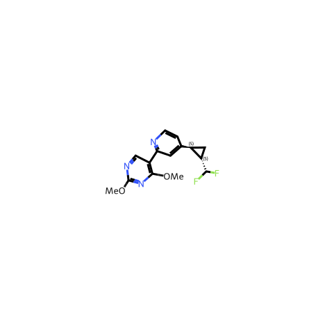 COc1ncc(-c2cc([C@H]3C[C@@H]3C(F)F)ccn2)c(OC)n1